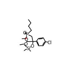 CCCCP(=O)(CC)CC(O[Si](C)(C)C)(C(=O)OC)c1ccc(Cl)cc1